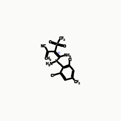 C=C(C#N)/C(=C(/N)N(N)c1c(Cl)cc(C(F)(F)F)cc1Cl)S(=O)(=O)C(F)(F)F